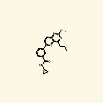 CCCc1nc(N)nc2ccc(-c3cccc(C(=O)NC4CC4)c3)nc12